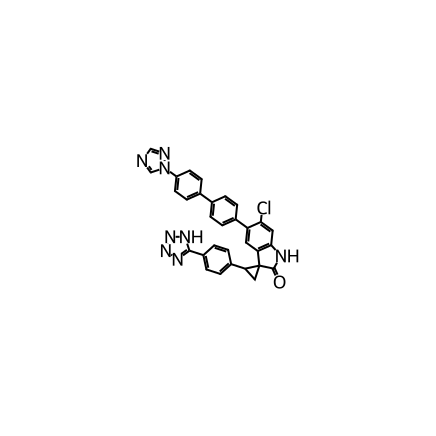 O=C1Nc2cc(Cl)c(-c3ccc(-c4ccc(-n5cncn5)cc4)cc3)cc2C12CC2c1ccc(-c2nnn[nH]2)cc1